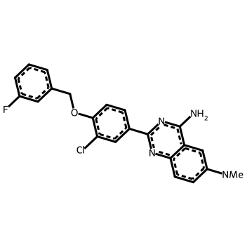 CNc1ccc2nc(-c3ccc(OCc4cccc(F)c4)c(Cl)c3)nc(N)c2c1